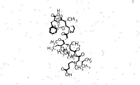 CC[C@H](C)[C@@H]([C@@H](CC(=O)N1CCC[C@H]1[C@H](OC)[C@@H](C)C(=O)N[C@@H](Cc1ccccc1)C(=O)O)OC)N(C)[C@H](C(=O)NC(=O)[C@H](C(C)C)N(C)CCCC(=O)O)C(C)C